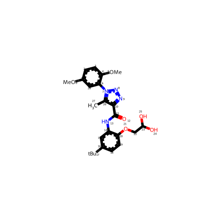 COc1ccc(OC)c(-n2nnc(C(=O)Nc3cc(C(C)(C)C)ccc3OCC(O)O)c2C)c1